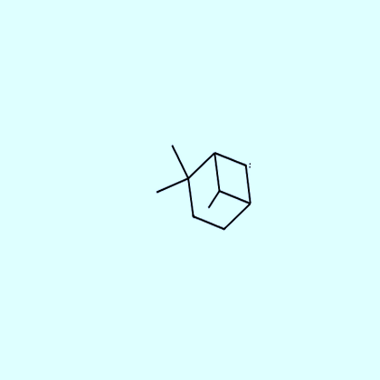 CC1C2[C]C1C(C)(C)CC2